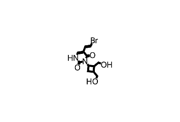 O=c1[nH]cc(C=CBr)c(=O)n1C1CC(CO)C1CO